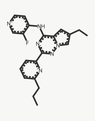 CCCc1cccc(-c2nc(Nc3ccncc3F)c3cc(CC)cn3n2)n1